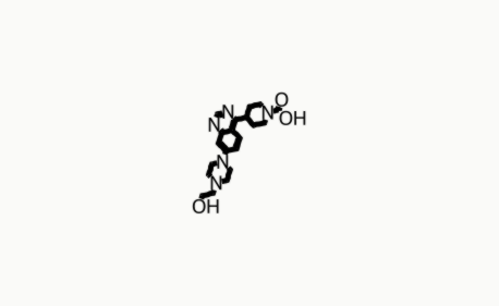 O=C(O)N1CCC(c2ncnc3cc(N4CCN(CCO)CC4)ccc23)CC1